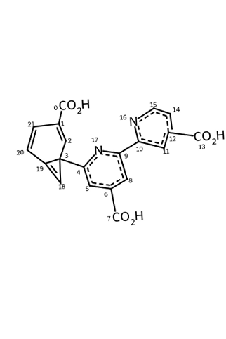 O=C(O)C1=CC2(c3cc(C(=O)O)cc(-c4cc(C(=O)O)ccn4)n3)C=C2C=C1